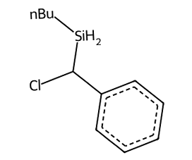 CCCC[SiH2]C(Cl)c1ccccc1